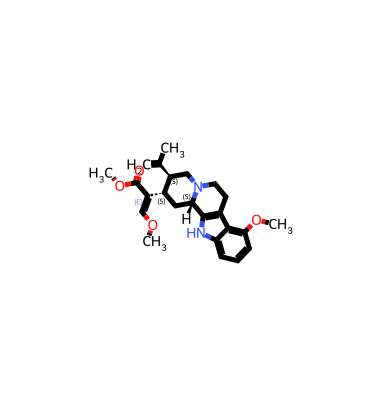 C=C(C)[C@H]1CN2CCc3c([nH]c4cccc(OC)c34)[C@@H]2C[C@@H]1/C(=C\OC)C(=O)OC